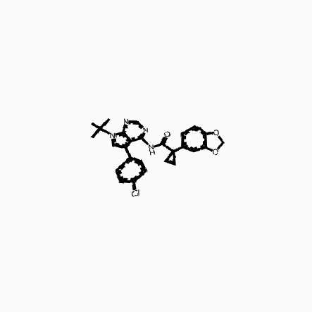 CC(C)(C)n1cc(-c2ccc(Cl)cc2)c2c(NC(=O)C3(c4ccc5c(c4)OCO5)CC3)ncnc21